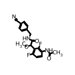 COC(C(=O)NCc1ccc(C#N)cc1)c1c(F)ccc(NC(C)=O)c1F